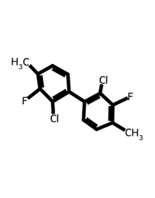 Cc1ccc(-c2ccc(C)c(F)c2Cl)c(Cl)c1F